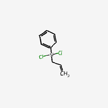 C=CC[Si](Cl)(Cl)c1ccccc1